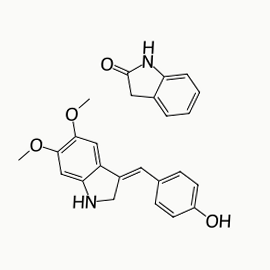 COc1cc2c(cc1OC)C(=Cc1ccc(O)cc1)CN2.O=C1Cc2ccccc2N1